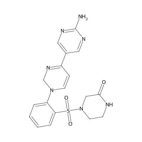 Nc1ncc(C2=NCN(c3ccccc3S(=O)(=O)N3CCNC(=O)C3)C=C2)cn1